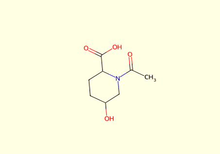 CC(=O)N1CC(O)CCC1C(=O)O